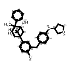 CC1(c2ccccc2)CCC2(c3ccc(Cl)c(Cc4ccc(O[C@H]5CCOC5)cc4)c3)C[C@@]1(O)C2(C)C